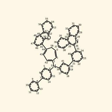 C1=CC(N(c2ccc(-c3ccccc3)cc2)c2cccc(-c3cccc(-c4nc5ccccc5c5ccccc45)c3)c2)=CC=C(c2cccc3c2oc2ccccc23)C1